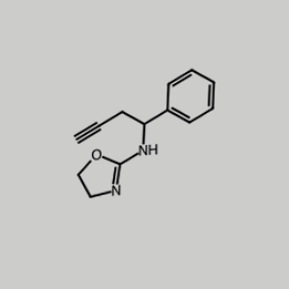 C#CCC(NC1=NCCO1)c1ccccc1